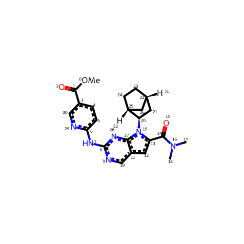 COC(=O)c1ccc(Nc2ncc3cc(C(=O)N(C)C)n([C@@H]4C[C@H]5CC[C@@H]4C5)c3n2)nc1